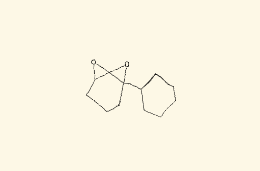 C1CCC(C23CCCC4OC42O3)CC1